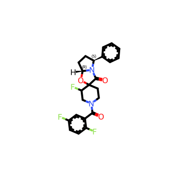 O=C(c1cc(F)ccc1F)N1CCC2(O[C@@H]3CC[C@@H](c4ccccc4)N3C2=O)C(F)C1